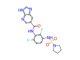 O=C(Nc1c(F)ccc(NS(=O)(=O)N2CCCC2)c1F)c1cnc2[nH]cnc2c1